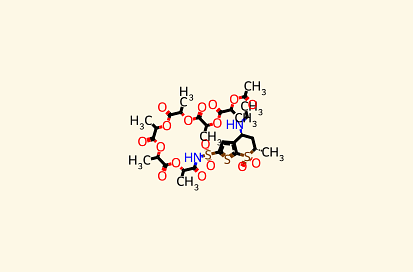 CCN[C@H]1C[C@H](C)S(=O)(=O)c2sc(S(=O)(=O)NC(=O)C(C)OC(=O)C(C)OC(=O)C(C)OC(=O)C(C)OC(=O)C(C)OC(=O)C(C)OC(C)=O)cc21